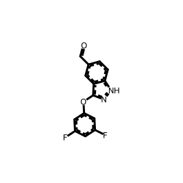 O=Cc1ccc2[nH]nc(Oc3cc(F)cc(F)c3)c2c1